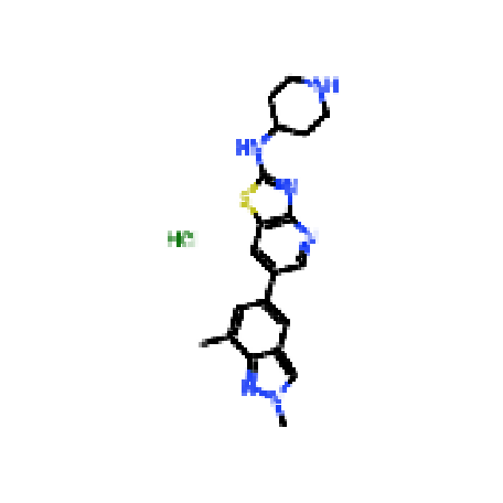 Cc1cc(-c2cnc3nc(NC4CCNCC4)sc3c2)cc2cn(C)nc12.Cl